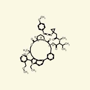 CCn1c(-c2cnccc2COC)c2c3cc(ccc31)-c1cccc(c1)C[C@H](NC(=O)C(C(C)C)N(C)C(=O)CC1(N=C=Nc3ccc(OC)cc3)CC1)C(=O)N1CCC[C@H](N1)C(=O)OCC(C)(C)C2